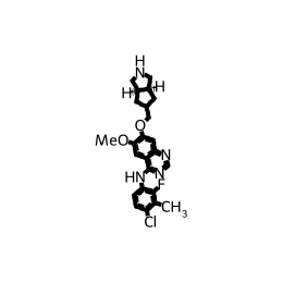 COc1cc2c(Nc3ccc(Cl)c(C)c3F)ncnc2cc1OCC1C[C@H]2CNC[C@H]2C1